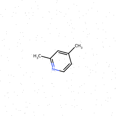 Cc1[c]cnc(C)c1